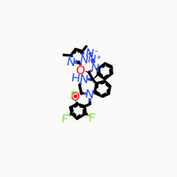 Cc1cc(C)nc(O[C@H](N=[N+]=[N-])[C@@]2(c3ccccc3)NCC(=O)N(Cc3c(F)cc(F)cc3F)c3ccccc32)n1